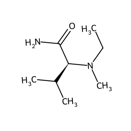 CCN(C)[C@H](C(N)=O)C(C)C